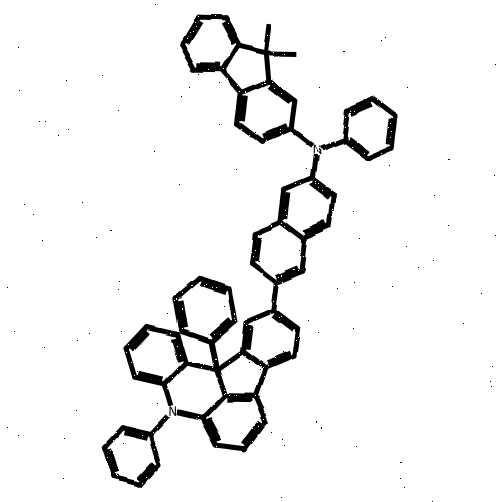 CC1(C)c2ccccc2-c2ccc(N(c3ccccc3)c3ccc4cc(-c5ccc6c(c5)C5(c7ccccc7)c7ccccc7N(c7ccccc7)c7cccc-6c75)ccc4c3)cc21